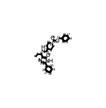 CCC(NCC1CCN(C(=O)OCc2ccccc2)CC1)c1nnc(-c2ccccc2)[nH]c1=O